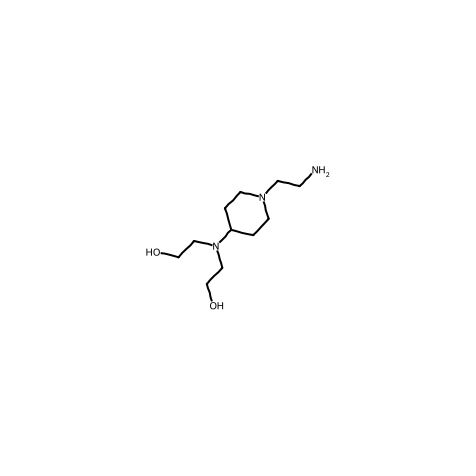 NCCN1CCC(N(CCO)CCO)CC1